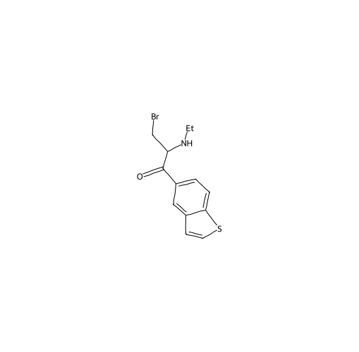 CCNC(CBr)C(=O)c1ccc2sccc2c1